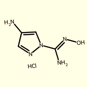 Cl.NC(=NO)n1cc(N)cn1